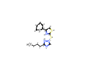 CCCCc1ncn(Sc2nc(-c3ccccc3)cs2)n1